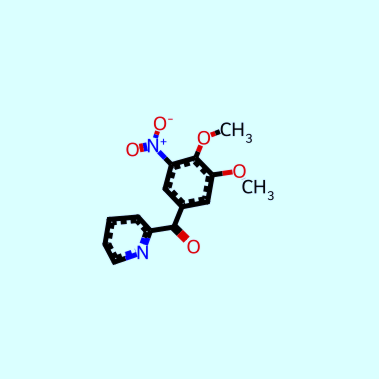 COc1cc(C(=O)c2ccccn2)cc([N+](=O)[O-])c1OC